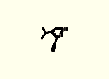 C#Cc1n[nH]cc1C(C)C